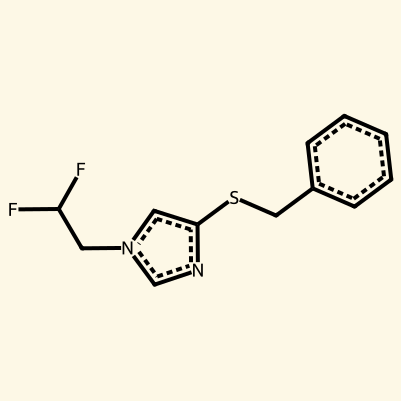 FC(F)Cn1cnc(SCc2ccccc2)c1